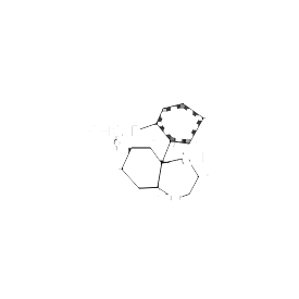 Fc1ccccc1C12CCCCC1OCCN2.O=CO